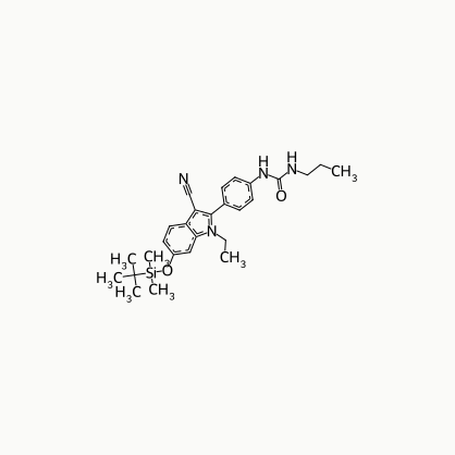 CCCNC(=O)Nc1ccc(-c2c(C#N)c3ccc(O[Si](C)(C)C(C)(C)C)cc3n2CC)cc1